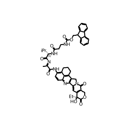 CC[C@@]1(O)C(=O)OCc2c1cc1n(c2=O)Cc2c-1nc1ccc(NC(=O)C(C)=NC(=O)[C@@H](NC(=O)CCNC(=O)OCC3c4ccccc4-c4ccccc43)C(C)C)c3c1c2CCC3